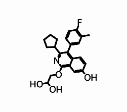 Cc1cc(-c2c(C3CCCC3)nc(OCC(O)O)c3cc(O)ccc23)ccc1F